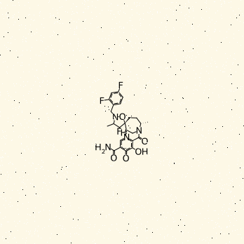 CC1[C@@H](F)[C@]2(CC[C@H](C)N3C[C@H]2n2cc(C(N)=O)c(=O)c(O)c2C3=O)ON1Cc1ccc(F)cc1F